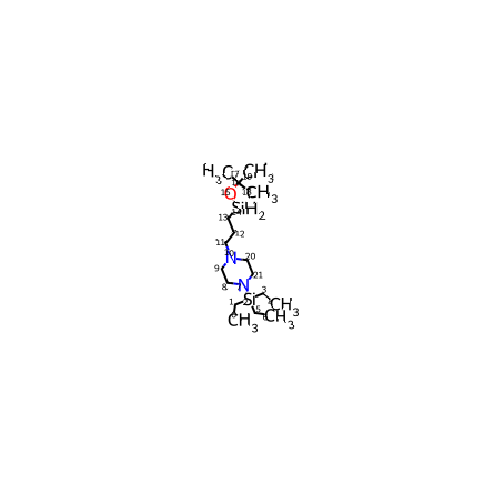 CC[Si](CC)(CC)N1CCN(CCC[SiH2]OC(C)(C)C)CC1